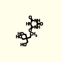 CCC(CO)(CO)CO.O=c1[nH]c(=O)[nH]c(=O)[nH]1